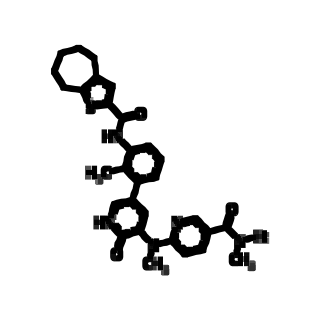 CCN(C)C(=O)c1ccc(N(C)c2cc(-c3cccc(NC(=O)c4cc5c(s4)CCCCC5)c3C)c[nH]c2=O)nc1